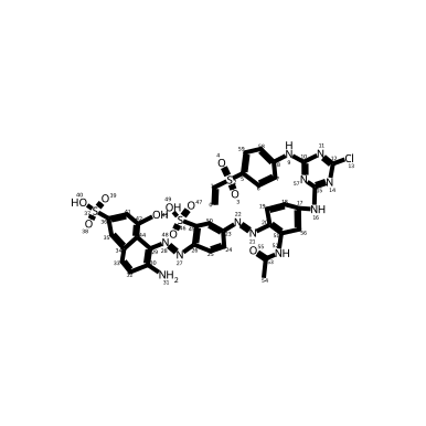 C=CS(=O)(=O)c1ccc(Nc2nc(Cl)nc(Nc3ccc(/N=N/c4ccc(/N=N/c5c(N)ccc6cc(S(=O)(=O)O)cc(O)c56)c(S(=O)(=O)O)c4)c(NC(C)=O)c3)n2)cc1